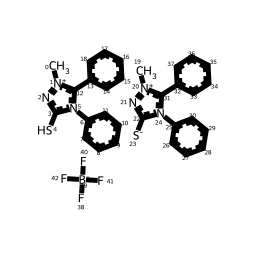 C[n+]1nc(S)n(-c2ccccc2)c1-c1ccccc1.C[n+]1nc([S-])n(-c2ccccc2)c1-c1ccccc1.F[B-](F)(F)F